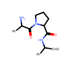 CC(C)C([C]=O)NC(=O)C1CCCN1C(=O)C(N)C(C)C